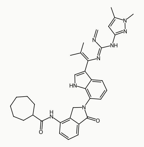 C=N/C(=N\C(=C(C)C)c1c[nH]c2c(N3Cc4c(NC(=O)C5CCCCCC5)cccc4C3=O)cccc12)Nc1cc(C)n(C)n1